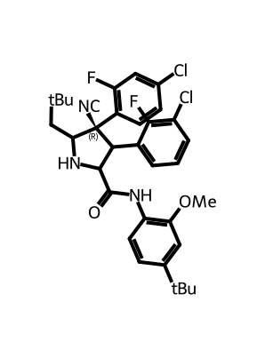 COc1cc(C(C)(C)C)ccc1NC(=O)C1NC(CC(C)(C)C)[C@](C#N)(c2ccc(Cl)cc2F)C1c1cccc(Cl)c1F